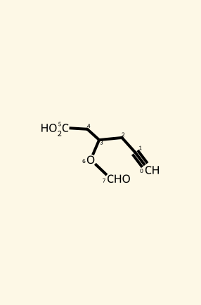 C#CCC(CC(=O)O)OC=O